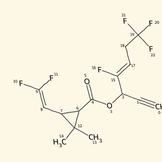 C#CC(OC(=O)C1C(C=C(F)F)C1(C)C)/C(F)=C/CC(F)(F)F